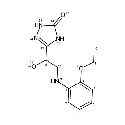 CCOc1ccccc1NCC(O)c1n[nH]c(=O)[nH]1